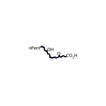 CCCCC/C=C\C[C@H](O)/C=C/C=C\C=C\C(=O)CCCC(=O)O